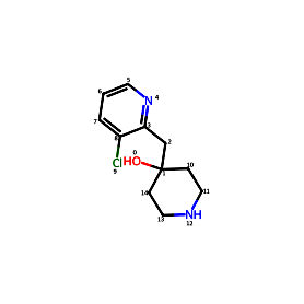 OC1(Cc2ncccc2Cl)CCNCC1